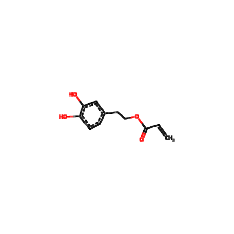 C=CC(=O)OCCc1ccc(O)c(O)c1